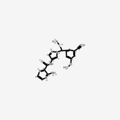 C#Cc1cc(OC)cc(C(CN)n2cc(NC(=O)c3nccnc3N)cn2)c1